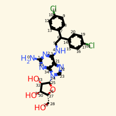 Nc1nc(NCC(c2ccc(Cl)cc2)c2ccc(Cl)cc2)c2ncn([C@@H]3O[C@H](CO)[C@@H](O)[C@H]3O)c2n1